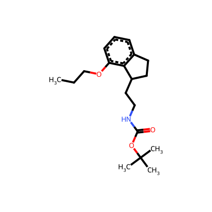 CCCOc1cccc2c1C(CCNC(=O)OC(C)(C)C)CC2